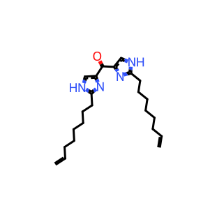 C=CCCCCCCc1nc(C(=O)c2c[nH]c(CCCCCCC=C)n2)c[nH]1